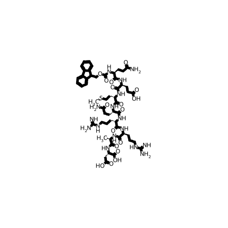 CSCC[C@H](NC(=O)[C@H](CCC(=O)O)NC(=O)[C@H](CCC(N)=O)NC(=O)OCC1c2ccccc2-c2ccccc21)C(=O)N[C@@H](CCC(N)=O)C(=O)N[C@@H](CCCNC(=N)N)C(=O)N[C@@H](CCCNC(=N)N)C(=O)N[C@@H](C)C(=O)N[C@@H](CC(=O)O)C(=O)O